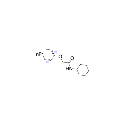 C/C=C(\C=C/CCC)OCC(=O)NC1CCCCC1